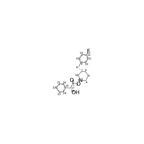 O=C(ON1CCC[C@@H](Cc2ccc(F)cc2)C1)[C@H](O)c1ccccc1